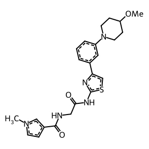 COC1CCN(c2cccc(-c3csc(NC(=O)CNC(=O)c4ccn(C)c4)n3)c2)CC1